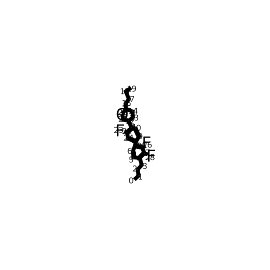 CCCCc1ccc(-c2ccc(C3CCC(CCCC)OC3)c(F)c2)c(F)c1F